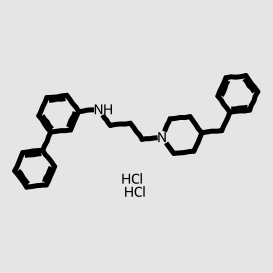 Cl.Cl.c1ccc(CC2CCN(CCCNc3cccc(-c4ccccc4)c3)CC2)cc1